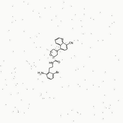 C[C@@H]1CN(c2ccc(C#N)c3ncccc23)C[C@H](C(=O)NCCc2c(N)cccc2Br)O1